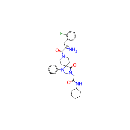 N[C@H](Cc1ccccc1F)C(=O)N1CCC2(CC1)C(=O)N(CC(=O)NC1CCCCC1)CN2c1ccccc1